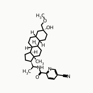 COC[C@@]1(O)CC[C@H]2[C@H](CC[C@@H]3[C@@H]2CC[C@]2(C)[C@@H](C(C)NC(=O)c4ccc(C#N)cn4)CC[C@@H]32)C1